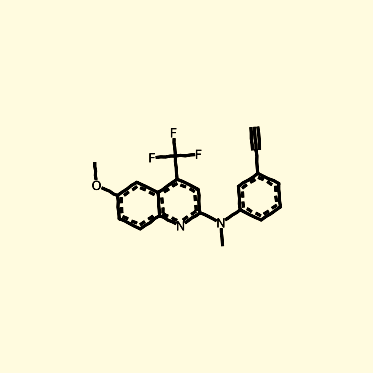 C#Cc1cccc(N(C)c2cc(C(F)(F)F)c3cc(OC)ccc3n2)c1